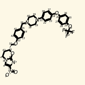 O=[N+]([O-])c1cn2c(n1)O[C@@H](COc1ccc(CN3CCN(c4ccc(Oc5ccc(OC(F)(F)F)cc5)cc4)CC3)cc1)CC2